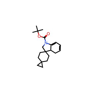 CC(C)(C)OC(=O)N1CC2(CCC3(CC3)CC2)C2CC=CC=C21